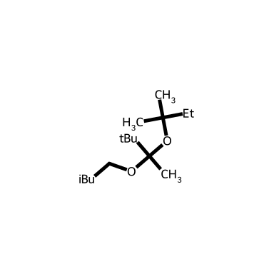 CCC(C)COC(C)(OC(C)(C)CC)C(C)(C)C